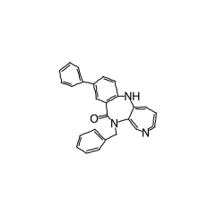 O=C1c2cc(-c3ccccc3)ccc2NC2=CC=C=NC=C2N1Cc1ccccc1